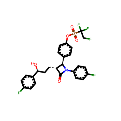 O=C1[C@H](CC[C@H](O)c2ccc(F)cc2)[C@@H](c2ccc(OS(=O)(=O)C(F)(F)CF)cc2)N1c1ccc(F)cc1